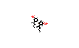 CCCC(C)c1cc(O)ccc1Sc1ccc(O)cc1C(C)CCC